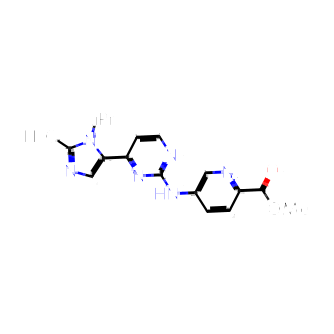 COC(=O)c1ccc(Nc2nccc(-c3cnc(C)n3C(C)C)n2)cn1